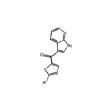 O=C(c1cnc(Br)s1)c1c[nH]c2ncccc12